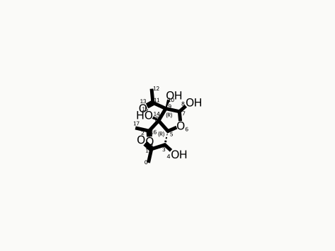 CC(=O)C(O)[C@H]1OC(O)[C@@](O)(C(C)=O)[C@@]1(O)C(C)=O